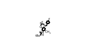 Cc1cc2c(cc1NC(=O)CC(C)(C)C)OCC(F)(F)CN2Cc1ccc(F)cc1